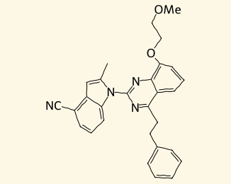 COCCOc1cccc2c(CCc3ccccc3)nc(-n3c(C)cc4c(C#N)cccc43)nc12